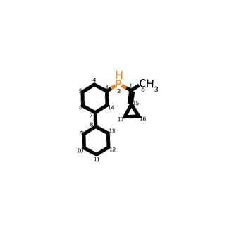 CC(PC1CCCC(C2CCCCC2)C1)=C1CC1